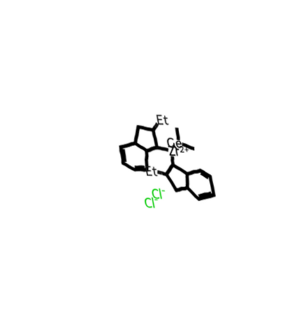 CCC1CC2C=CC=CC2[CH]1[Zr+2]([CH]1C(CC)CC2C=CC=CC21)=[Ge]([CH3])[CH3].[Cl-].[Cl-]